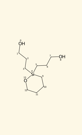 OCCC[Si]1(CCCO)CCCCO1